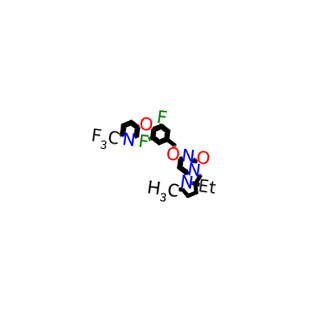 CCC12CCC(C)N1c1cc(OCc3cc(F)c(Oc4ccc(C(F)(F)F)nc4)c(F)c3)nc(=O)n1C2